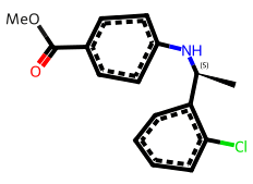 COC(=O)c1ccc(N[C@@H](C)c2ccccc2Cl)cc1